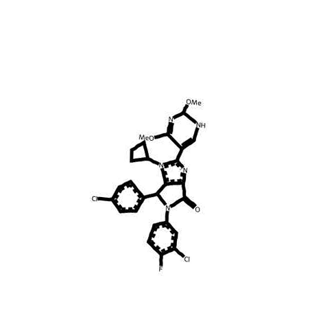 COC1=NC(OC)NC=C1c1nc2c(n1C1CCC1)C(c1ccc(Cl)cc1)N(c1ccc(F)c(Cl)c1)C2=O